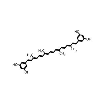 CC(/C=C/C=C(C)/C=C/c1cc(O)cc(O)c1)=C\C=C\C=C(C)\C=C\C=C(C)\C=C\c1cc(O)cc(O)c1